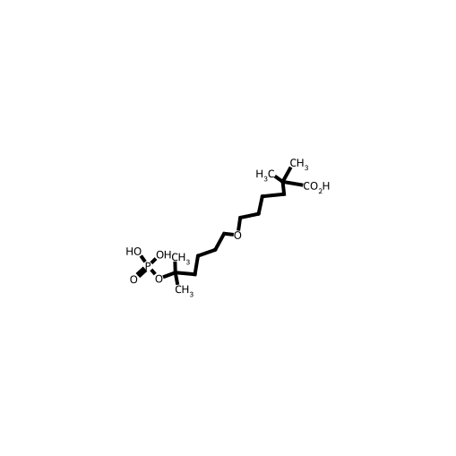 CC(C)(CCCCOCCCCC(C)(C)C(=O)O)OP(=O)(O)O